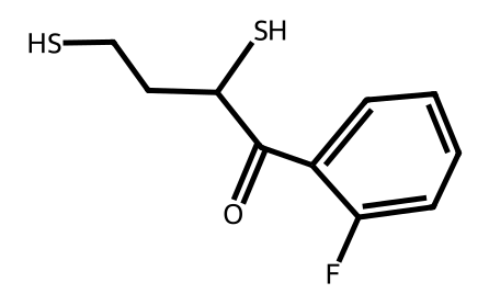 O=C(c1ccccc1F)C(S)CCS